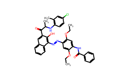 CCOc1cc(NC(=O)c2ccccc2)c(OCC)cc1/N=N/c1c(O)c(C(=O)C(C)Nc2ccc(Cl)cc2C)cc2ccccc12